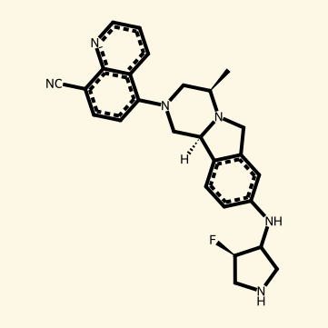 C[C@@H]1CN(c2ccc(C#N)c3ncccc23)C[C@@H]2c3ccc(NC4CNC[C@H]4F)cc3CN12